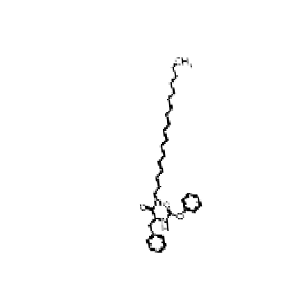 CCCCCCCCCCCCCCCCCCOC(=O)C(Cc1ccccc1)NC(=O)Oc1ccccc1